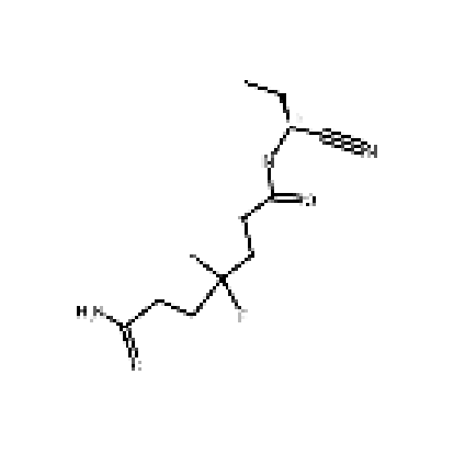 CC[C@@H](C#N)NC(=O)[CH]CC(F)(F)CCC(N)=O